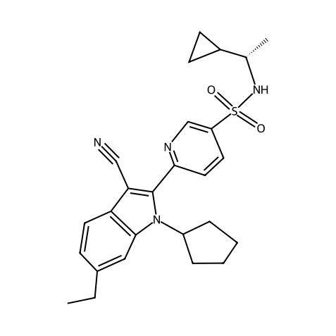 CCc1ccc2c(C#N)c(-c3ccc(S(=O)(=O)N[C@@H](C)C4CC4)cn3)n(C3CCCC3)c2c1